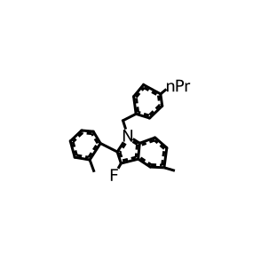 CCCc1ccc(Cn2c(-c3ccccc3C)c(F)c3cc(C)ccc32)cc1